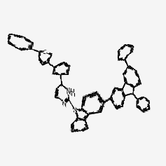 C1=CC(c2cccc(-c3ccc(-c4ccccc4)cc3)c2)NC(n2c3ccccc3c3cc(-c4ccc5c(c4)-c4cc(-c6ccccc6)ccc4C5c4ccccc4)ccc32)=N1